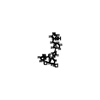 CC(c1c(Cl)cc(Cl)cc1N1CC([C@@H]2CCCN(Cc3cnc[nH]3)C2)C1)n1cccn1